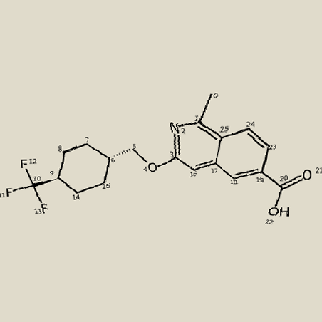 Cc1nc(OC[C@H]2CC[C@H](C(F)(F)F)CC2)cc2cc(C(=O)O)ccc12